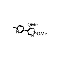 COc1ncc(-c2ccc(C)nc2)c(OC)n1